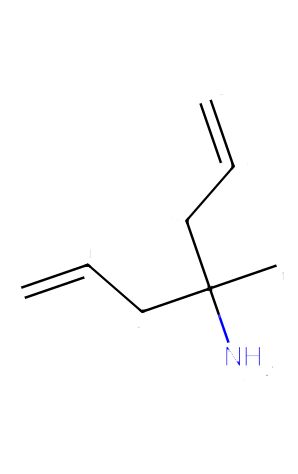 C=CCC(C)(N)CC=C